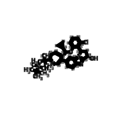 CC(C)(O[Si](C)(C)C(C)(C)C)C1=NC=C(c2ccc3nc4n(c3c2)C(c2c(Cl)cccc2OC(F)C2CC2)C[C@@H]4O)C=CC1